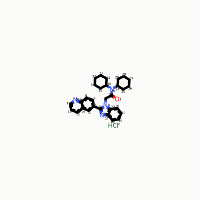 Cl.O=C(Cn1c(-c2ccc3ncccc3c2)nc2ccccc21)N(C1CCCCC1)C1CCCCC1